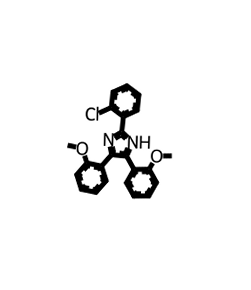 COc1ccccc1-c1nc(-c2ccccc2Cl)[nH]c1-c1ccccc1OC